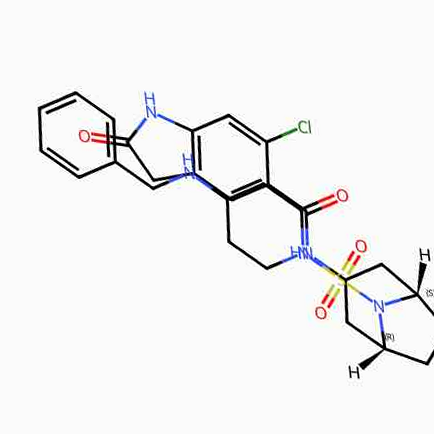 O=C1Cc2cc(C(=O)NC3C[C@H]4CC[C@@H](C3)N4S(=O)(=O)N3CCC(NCc4ccccc4)CC3)c(Cl)cc2N1